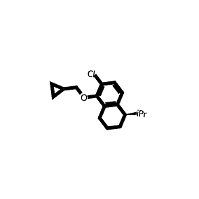 CC(C)[C@H]1CCCc2c1ccc(Cl)c2OCC1CC1